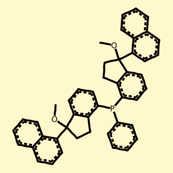 COC1(c2cccc3ccccc23)CCc2c(P(c3ccccc3)c3cccc4c3CCC4(OC)c3cccc4ccccc34)cccc21